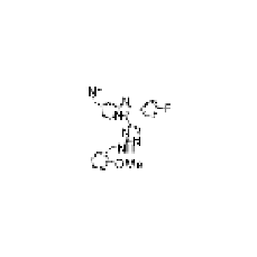 COc1ccccc1CNc1nccc(-c2c(-c3ccc(F)cc3)nc3cc(CN(C)C)ccn23)n1